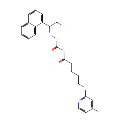 Cc1ccnc(NCCCCC(=O)NC(=O)NNC(CC(=O)O)c2cccc3ccccc23)c1